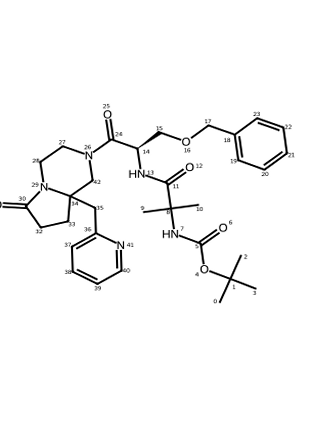 CC(C)(C)OC(=O)NC(C)(C)C(=O)N[C@H](COCc1ccccc1)C(=O)N1CCN2C(=O)CCC2(Cc2ccccn2)C1